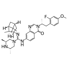 COc1ccc(C[C@@H](C)n2cnc3cc(NC(=N[C@H]4C[C@H]5C[C@@H]([C@@H]4C)C5(C)C)N4C[C@H](C)N[C@@H](C)C4)ccc3c2=O)c(F)c1